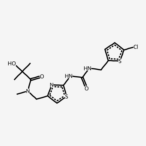 CN(Cc1csc(NC(=O)NCc2ccc(Cl)s2)n1)C(=O)C(C)(C)O